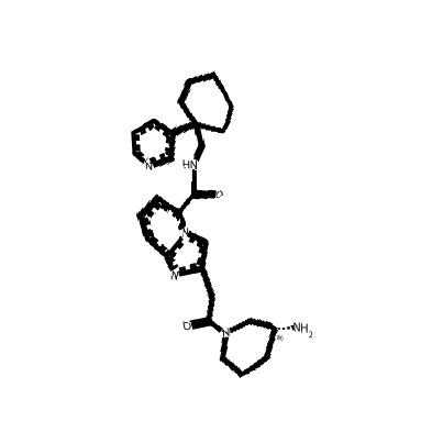 N[C@@H]1CCCN(C(=O)Cc2cn3c(C(=O)NCC4(c5cccnc5)CCCCC4)cccc3n2)C1